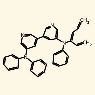 C=C/C=C(\C=C)N(c1ccccc1)c1cncc(-c2cncc(N(c3ccccc3)c3ccccc3)c2)c1